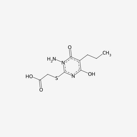 CCCc1c(O)nc(SCC(=O)O)n(N)c1=O